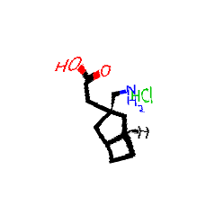 Cl.NC[C@]1(CC(=O)O)CC2CC[C@H]2C1